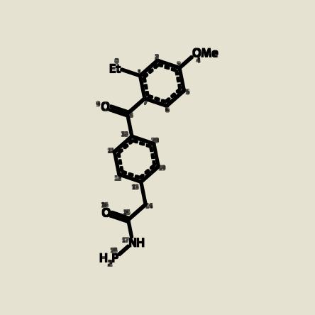 CCc1cc(OC)ccc1C(=O)c1ccc(CC(=O)NP)cc1